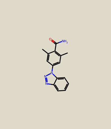 Cc1cc(-n2nnc3ccccc32)cc(C)c1C(N)=O